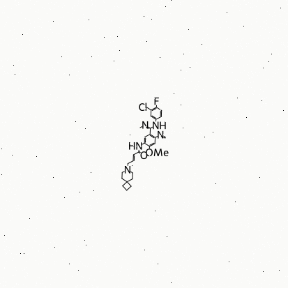 C=Nc1cc(OC)c(NC(=O)/C=C/CN2CCC3(CCC3)CC2)cc1/C(=N\C)Nc1ccc(F)c(Cl)c1